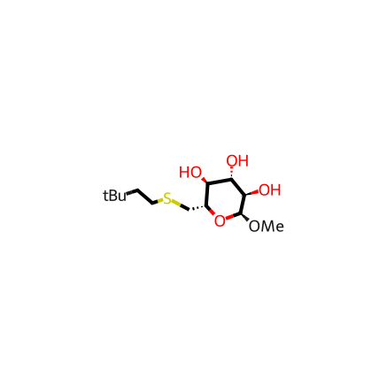 CO[C@H]1O[C@H](CSCCC(C)(C)C)[C@@H](O)[C@H](O)[C@H]1O